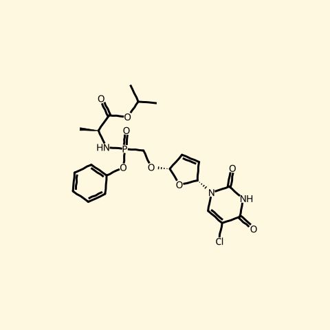 CC(C)OC(=O)[C@H](C)NP(=O)(CO[C@@H]1C=C[C@H](n2cc(Cl)c(=O)[nH]c2=O)O1)Oc1ccccc1